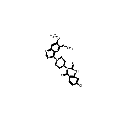 COc1cc2ncnc(N3CCC(n4c(=O)[nH]c5cc(Cl)ccc5c4=O)CC3)c2cc1OC